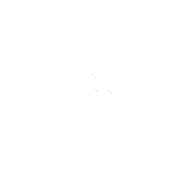 CC(C)(C)c1cn(Cc2ccc(F)cc2)nn1